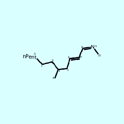 CCCCCCCC(C)C/C=C/C=N\C